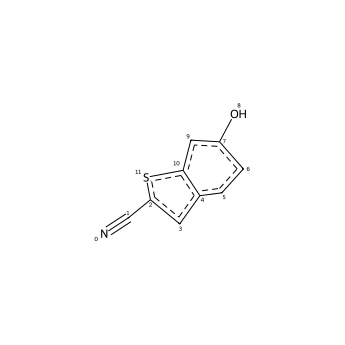 N#Cc1cc2ccc(O)cc2s1